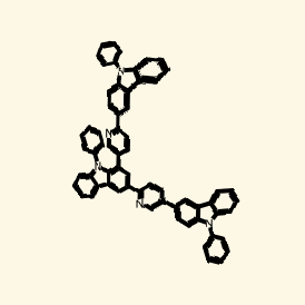 c1ccc(-n2c3ccccc3c3cc(-c4ccc(-c5cc(-c6ccc(-c7ccc8c(c7)c7ccccc7n8-c7ccccc7)nc6)c6c(c5)c5ccccc5n6-c5ccccc5)nc4)ccc32)cc1